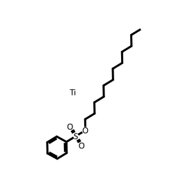 CCCCCCCCCCCCOS(=O)(=O)c1ccccc1.[Ti]